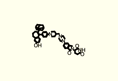 O=C1CC[C@H](N2Cc3cc(N4CCN(CC5CCN(c6ccc(C7=C(C89CC%10CC(CC(C%10)C8)C9)CCCc8cc(O)ccc87)cc6)CC5)CC4)ccc3C2=O)C(=O)N1